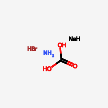 Br.N.O=C(O)O.[NaH]